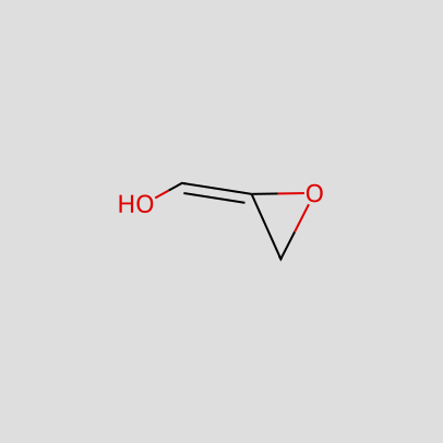 O/C=C1\CO1